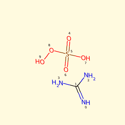 N=C(N)N.O=S(=O)(O)OO